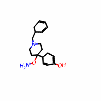 NOC1(C2C=CC(O)=CC2)CCN(CC2C=CC=CC2)CC1